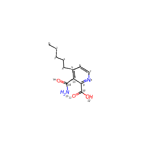 CCCCCc1ccnc(C(=O)O)c1C(N)=O